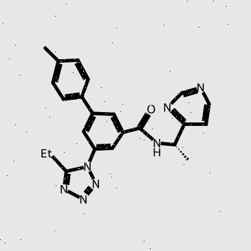 CCc1nnnn1-c1cc(C(=O)N[C@@H](C)c2ccncn2)cc(-c2ccc(C)cc2)c1